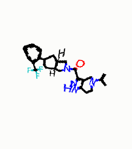 C=C(C)N1CCc2[nH]nc(C(=O)N3C[C@H]4C[C@@H](c5ccccc5C(F)(F)F)C[C@H]4C3)c2C1